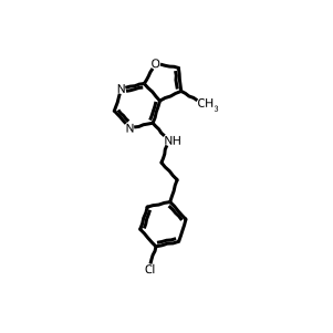 Cc1coc2ncnc(NCCc3ccc(Cl)cc3)c12